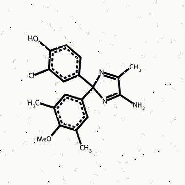 COc1c(C)cc(C2(c3ccc(O)c(Cl)c3)N=C(C)C(N)=N2)cc1C